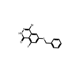 O=c1[nH]nc(Br)c2cc(SCc3ccccc3)cc(F)c12